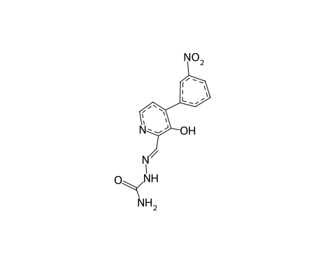 NC(=O)NN=Cc1nccc(-c2cccc([N+](=O)[O-])c2)c1O